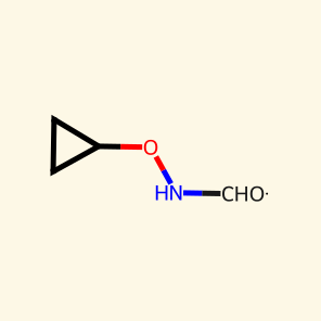 O=[C]NOC1CC1